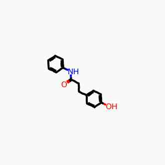 O=C(CCc1ccc(O)cc1)Nc1ccccc1